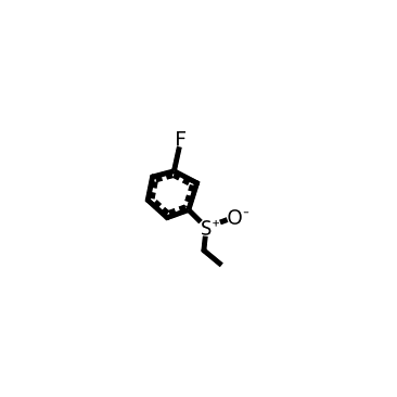 CC[S+]([O-])c1cccc(F)c1